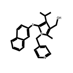 Cc1c(CO)c(C(C)C)c(Sc2ccc3ccccc3c2)n1Cc1ccncc1